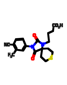 N#Cc1ccc(N2C(=O)N(CCCC(=O)O)C3(CCSCC3)C2=O)cc1C(F)(F)F